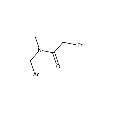 CC(=O)CN(C)C(=O)CC(C)C